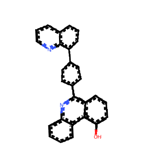 Oc1cccc2c(-c3ccc(-c4cccc5cccnc45)cc3)nc3ccccc3c12